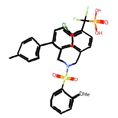 COc1ccccc1S(=O)(=O)N(Cc1ccc(C(F)(F)P(=O)(O)O)c(Cl)c1)Cc1ccccc1-c1ccc(C)cc1